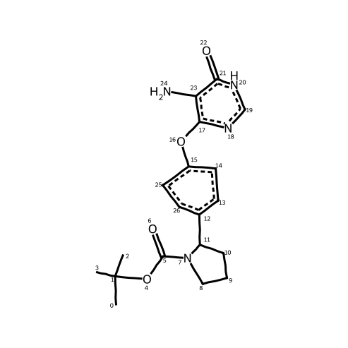 CC(C)(C)OC(=O)N1CCCC1c1ccc(Oc2nc[nH]c(=O)c2N)cc1